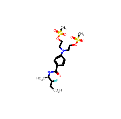 CS(=O)(=O)OCCN(CCOS(C)(=O)=O)c1ccc(C(=O)N[C@H](C(=O)O)C(F)CC(=O)O)cc1